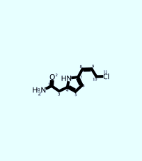 NC(=O)Cc1ccc(/C=C\CCl)[nH]1